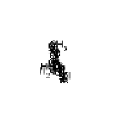 C=C1N=C([C@@H]2CCCN2C(=O)CSc2ccccc2Cl)N2CCN(CCS(=O)(=O)c3ccc(OC)cc3)C(=O)C2=C1O